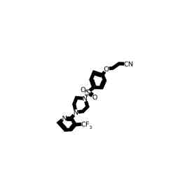 N#CCCOc1ccc(S(=O)(=O)N2CCN(c3ncccc3C(F)(F)F)CC2)cc1